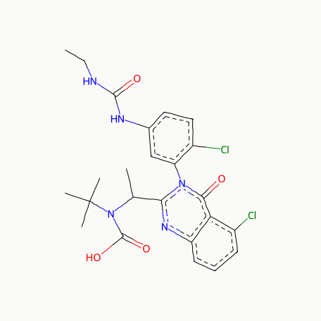 CCNC(=O)Nc1ccc(Cl)c(-n2c(C(C)N(C(=O)O)C(C)(C)C)nc3cccc(Cl)c3c2=O)c1